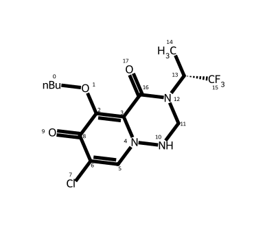 CCCCOc1c2n(cc(Cl)c1=O)NCN([C@H](C)C(F)(F)F)C2=O